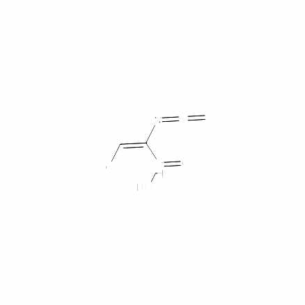 CC=C(N=C=S)[PH](=O)O